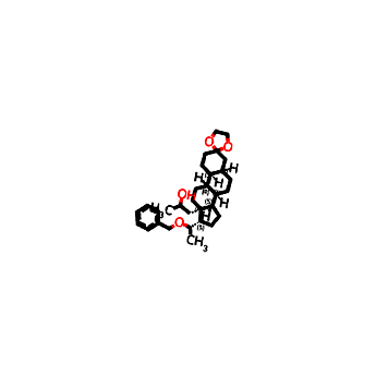 CC(O)C[C@]12CC[C@H]3[C@@H](CC[C@@H]4CC5(CC[C@@H]43)OCCO5)[C@@H]1CC[C@@H]2C(C)OCc1ccccc1